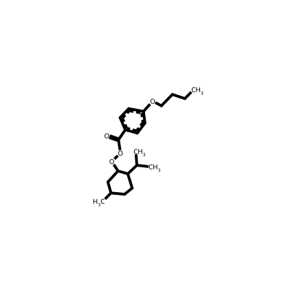 CCCCOc1ccc(C(=O)OO[C]2CC(C)CCC2C(C)C)cc1